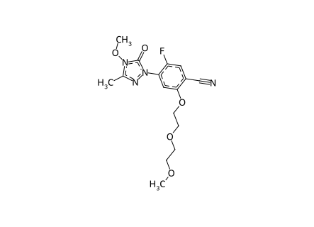 COCCOCCOc1cc(-n2nc(C)n(OC)c2=O)c(F)cc1C#N